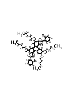 CCCCCOc1cc2c(cc1OCCCCC)c1c(cc(OCCCCC)c3oc(-c4ccccc4F)nc31)c1cc(OCCCCC)c3oc(-c4ccccc4F)nc3c21